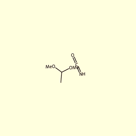 COC(C)OC.N=C=O